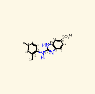 Cc1ccc(Nc2nc3ccc(C(=O)O)cc3[nH]2)c(C)c1